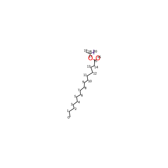 CCCCCCCCCCCCCCCC(=O)OC(C)I